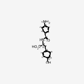 Nc1ccc(C(=O)N[C@@H](Cc2ccc(O)cc2)C(=O)O)cc1